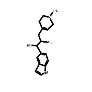 CN1CC=C(CC(N)C(O)c2ccc3[nH]ccc3c2)CC1